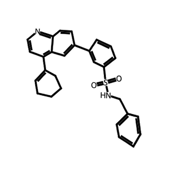 O=S(=O)(NCc1ccccc1)c1cccc(-c2ccc3nccc(C4=CCCCC4)c3c2)c1